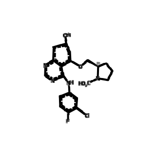 O=C(O)N1CCC[C@@H]1COc1cc(O)cc2ncnc(Nc3ccc(F)c(Cl)c3)c12